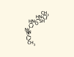 Cc1ccc(-n2cnc(-c3ccc(NC(=O)/C=C(\S)Nc4ccccc4C)cc3)n2)cc1